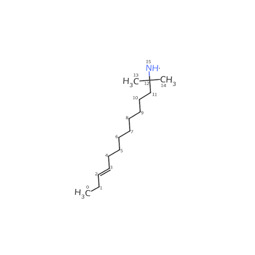 CC/C=C/CCCCCCCCC(C)(C)[NH]